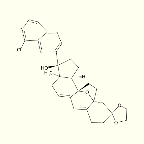 CC12CC=C3C=C4CCC5(C[C@]46CC[C@]3(O6)[C@@H]1CC[C@@]2(O)c1ccc2ccnc(Cl)c2c1)OCCO5